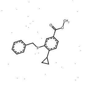 COC(=O)c1ccc(C2CC2)c(SCc2ccccc2)c1